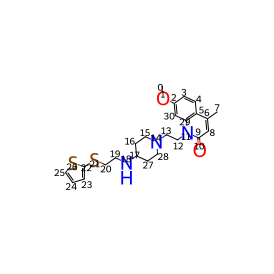 COc1ccc2c(C)cc(=O)n(CCN3CCC(NCCSc4cccs4)CC3)c2c1